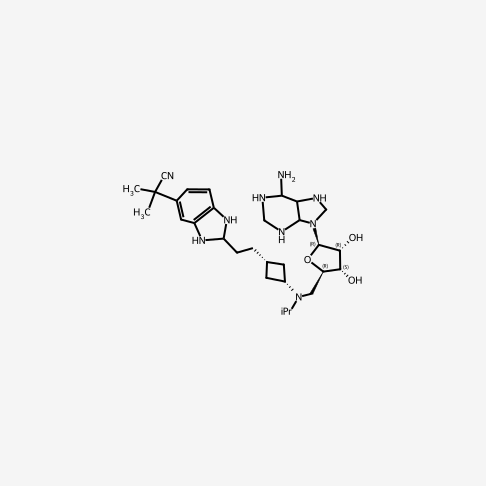 CC(C)N(C[C@H]1O[C@@H](N2CNC3C(N)NCNC32)[C@H](O)[C@@H]1O)[C@H]1C[C@@H](CCC2Nc3ccc(C(C)(C)C#N)cc3N2)C1